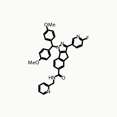 COc1ccc(C(c2ccc(OC)cc2)n2nc(-c3ccc(F)nc3)c3c2-c2ccc(C(=O)NCc4ccccn4)cc2C3)cc1